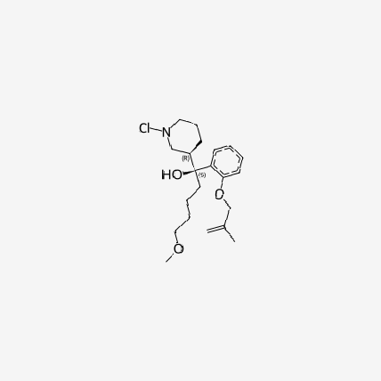 C=C(C)COc1ccccc1[C@](O)(CCCCOC)[C@@H]1CCCN(Cl)C1